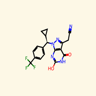 N#CCc1nn([C@@H](c2ccc(C(F)(F)F)cc2)C2CC2)c2nc(O)[nH]c(=O)c12